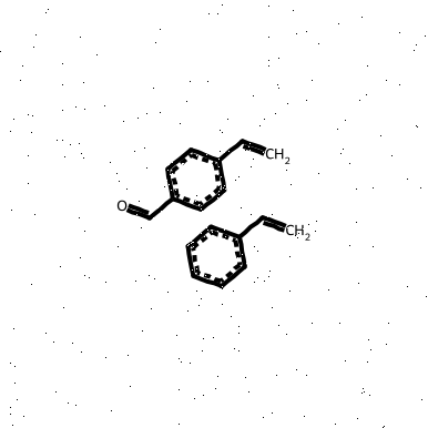 C=Cc1ccc(C=O)cc1.C=Cc1ccccc1